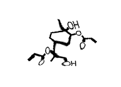 C=CC(=O)OC1CC(C(C)(CO)OC(=O)C=C)CCC1(C)O